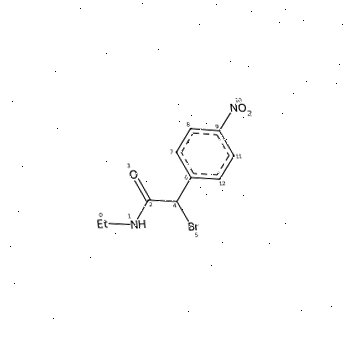 CCNC(=O)C(Br)c1ccc([N+](=O)[O-])cc1